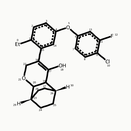 CCc1ccc(Oc2ccc(Cl)c(F)c2)cc1C1=C(O)C2C(OC1)[C@H]1CC[C@@H]2CC1